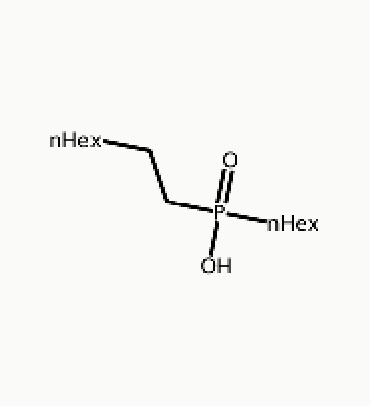 CCCCCCCCP(=O)(O)CCCCCC